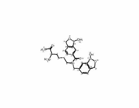 NC(=O)C(N)CCCCN(Cc1ccc2c(c1)B(O)OC2)C(=O)c1ccc2c(c1)B(O)OC2